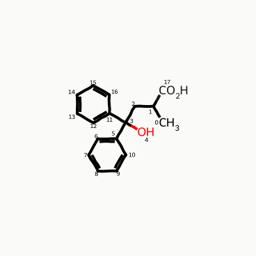 CC(CC(O)(c1ccccc1)c1ccccc1)C(=O)O